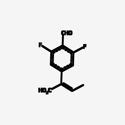 C/C=C(/C(=O)O)c1cc(F)c(C=O)c(F)c1